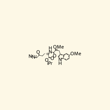 COc1ccc2[nH]cc(C[C@H](OC)C(=O)N[C@@H](CCC(=O)C=[N+]=[N-])C(=O)OC(C)C)c2c1